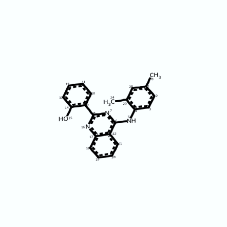 Cc1ccc(Nc2nc(-c3ccccc3O)nc3ccccc23)c(C)c1